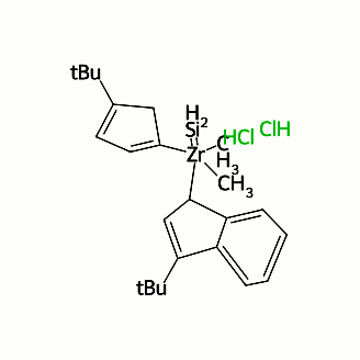 CC(C)(C)C1=CC=[C]([Zr]([CH3])([CH3])(=[SiH2])[CH]2C=C(C(C)(C)C)c3ccccc32)C1.Cl.Cl